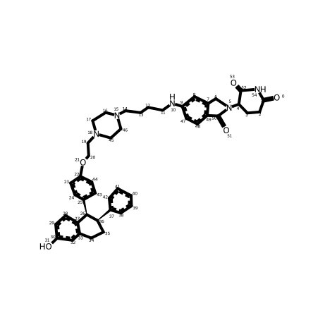 O=C1CCC(N2Cc3cc(NCCCCN4CCN(CCOc5ccc([C@@H]6c7ccc(O)cc7CC[C@@H]6c6ccccc6)cc5)CC4)ccc3C2=O)C(=O)N1